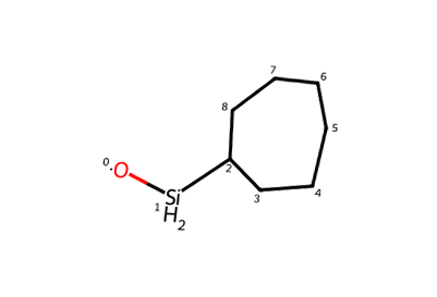 [O][SiH2]C1CCCCCC1